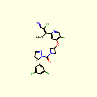 CN/C(=C(/Cl)C=N)c1cc(OC2CN(C(=O)N3N=CC[C@H]3c3cc(F)cc(F)c3)C2)c(F)cn1